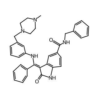 CN1CCN(Cc2cccc(NC(=C3C(=O)Nc4ccc(C(=O)NCc5ccccc5)cc43)c3ccccc3)c2)CC1